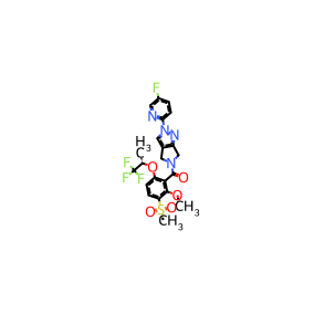 COc1c(S(C)(=O)=O)ccc(O[C@@H](C)C(F)(F)F)c1C(=O)N1Cc2cn(-c3ccc(F)cn3)nc2C1